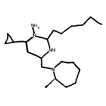 CCCCCCC1NC(CN2CCCCC[C@H]2C)CC(C2CC2)N1N